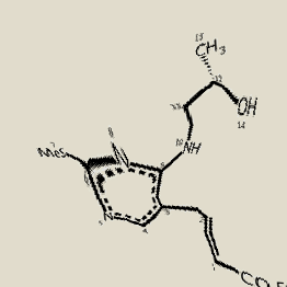 CCOC(=O)/C=C/c1cnc(SC)nc1NC[C@H](C)O